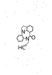 C#CCN1C(=O)c2cccc3c2N(CC3)c2ccccc21